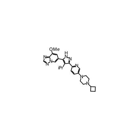 COc1cc(-c2[nH]nc(-c3ccc(N4CCN(C5CCC5)CC4)cn3)c2C(C)C)cn2ncnc12